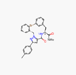 CNC(=O)[C@H](Cc1cccc(Br)c1)NC(=O)c1cc(-c2ccc(C)cc2)nn1Cc1ccccc1